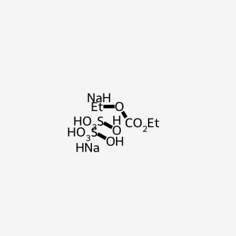 CCOC(=O)OCC.O=S(=O)(O)O.O=S(=O)(O)O.[NaH].[NaH]